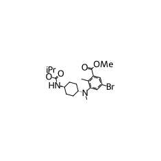 COC(=O)c1cc(Br)cc(N(C)[C@H]2CC[C@H](NC(=O)OC(C)C)CC2)c1C